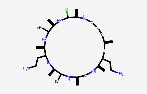 C=C1CCCNC(=C)C(Cl)NC(=C)C(CCC)NC(=C)C(CCN)NC(=C)C(CC)NC(=C)CNC(=C)C(CCN)C1